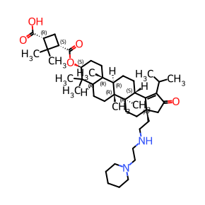 CC(C)C1=C2[C@H]3CC[C@@H]4[C@@]5(C)CC[C@H](OC(=O)[C@H]6C[C@@H](C(=O)O)C6(C)C)C(C)(C)[C@@H]5CC[C@@]4(C)[C@]3(C)CC[C@@]2(CCNCCN2CCCCC2)CC1=O